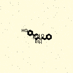 CCc1nc(-c2ccc(O)cc2)cnc1NC(=O)CC1CCCCC1